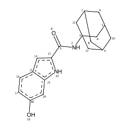 O=C(NC12CC3CC(CC(C3)C1)C2)c1cc2ccc(O)cc2[nH]1